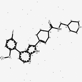 COc1ccc(F)cc1-c1ccnc2[nH]c(C3=CCC(C(=O)NCC4CCOCC4)CC3)cc12